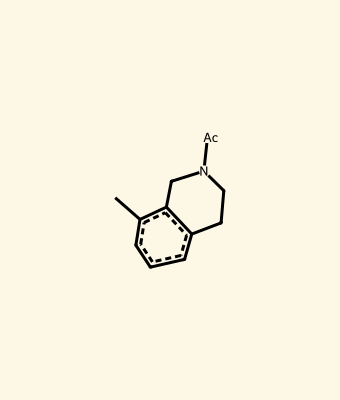 CC(=O)N1CCc2cccc(C)c2C1